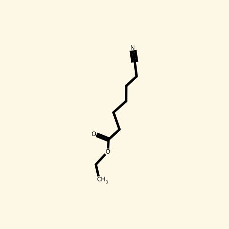 CCOC(=O)CCCCCC#N